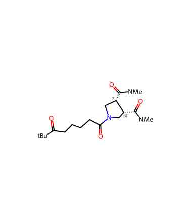 CNC(=O)[C@H]1CN(C(=O)CCCCC(=O)C(C)(C)C)C[C@H]1C(=O)NC